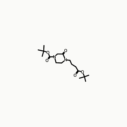 CC(C)(C)OC(=O)CCCN1CCN(C(=O)OC(C)(C)C)CC1=O